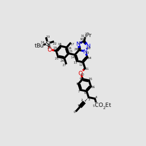 CC#C[C@@H](CC(=O)OCC)c1ccc(OCc2cc(-c3c(C)cc(O[Si](C)(C)C(C)(C)C)cc3C)c3nc(C(C)C)nn3c2)cc1